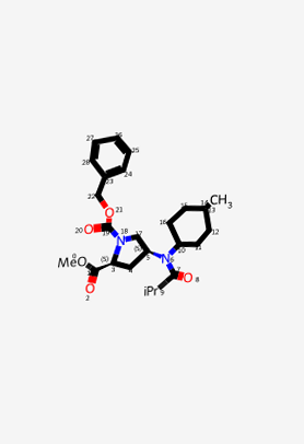 COC(=O)[C@@H]1C[C@H](N(C(=O)C(C)C)C2CCC(C)CC2)CN1C(=O)OCc1ccccc1